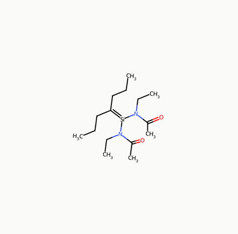 CCCC(CCC)=[Si](N(CC)C(C)=O)N(CC)C(C)=O